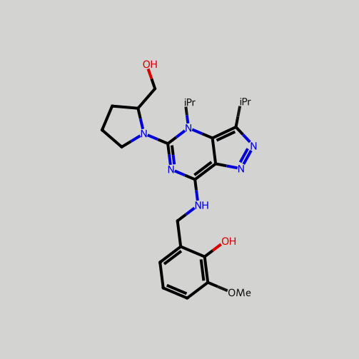 COc1cccc(CNc2nc(N3CCCC3CO)n(C(C)C)c3c(C(C)C)nnc2-3)c1O